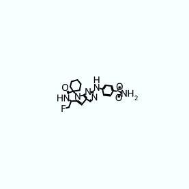 NS(=O)(=O)c1ccc(Nc2ncc3cc4n(c3n2)C2(CCCCC2)C(=O)NC4CF)cc1